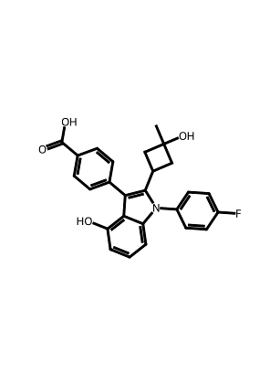 CC1(O)CC(c2c(-c3ccc(C(=O)O)cc3)c3c(O)cccc3n2-c2ccc(F)cc2)C1